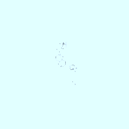 c1nc2ccc(Nc3nnc(C4CCCC4)s3)nc2cc1-c1cnn(CCCN2CCC2)c1